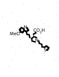 COc1ccc2nccc(CCC[C@@H]3CCN(CCCCc4cccs4)C[C@@H]3CCC(=O)O)c2c1